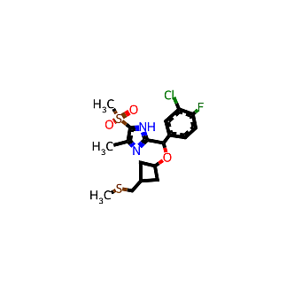 CSCC1CC(OC(c2ccc(F)c(Cl)c2)c2nc(C)c(S(C)(=O)=O)[nH]2)C1